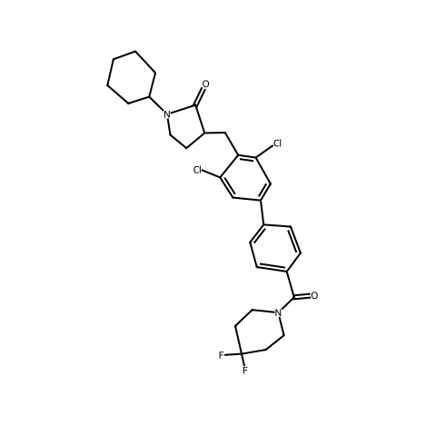 O=C(c1ccc(-c2cc(Cl)c(CC3CCN(C4CCCCC4)C3=O)c(Cl)c2)cc1)N1CCC(F)(F)CC1